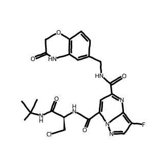 CC(C)(C)NC(=O)[C@H](CCl)NC(=O)c1cc(C(=O)NCc2ccc3c(c2)NC(=O)CO3)nc2c(F)cnn12